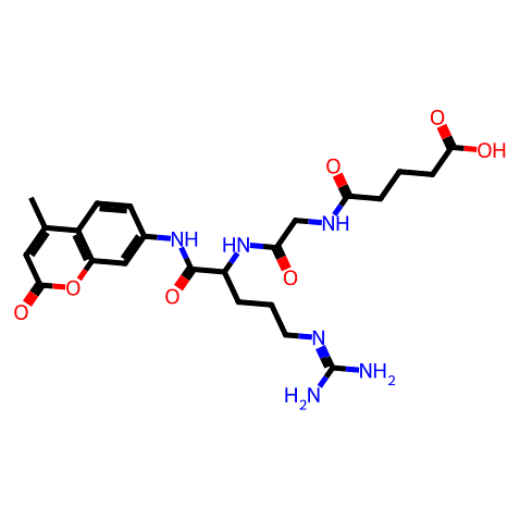 Cc1cc(=O)oc2cc(NC(=O)C(CCCN=C(N)N)NC(=O)CNC(=O)CCCC(=O)O)ccc12